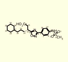 CS(=O)(=O)Nc1ccc(-c2noc([C@H](CCCC3CCCCC3)CC(=O)O)n2)cc1